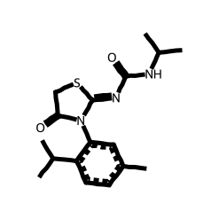 Cc1ccc(C(C)C)c(N2C(=O)CS/C2=N\C(=O)NC(C)C)c1